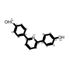 O=Cc1ccc(-c2cccc(-c3ccc(O)cc3)n2)cc1